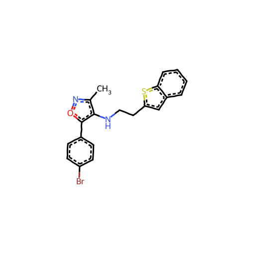 Cc1noc(-c2ccc(Br)cc2)c1NCCc1cc2ccccc2s1